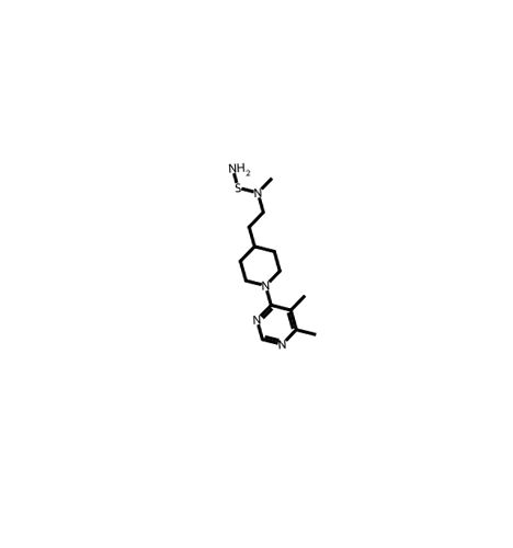 Cc1ncnc(N2CCC(CCN(C)SN)CC2)c1C